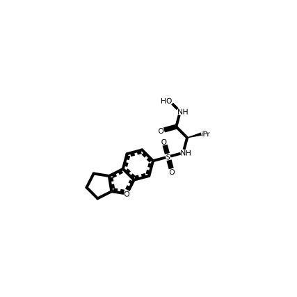 CC(C)[C@@H](NS(=O)(=O)c1ccc2c3c(oc2c1)CCC3)C(=O)NO